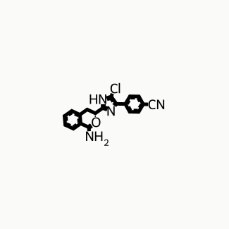 N#Cc1ccc(-c2nc([CH]Cc3ccccc3C(N)=O)[nH]c2Cl)cc1